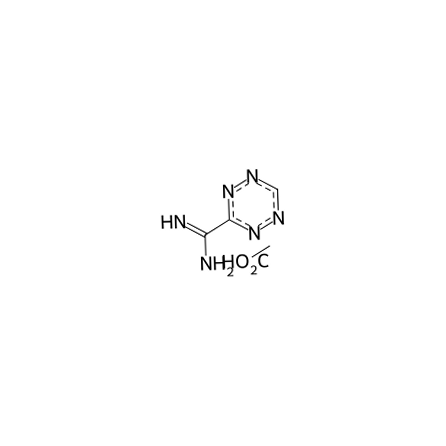 CC(=O)O.N=C(N)c1nncnn1